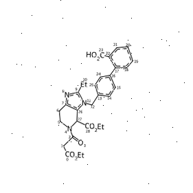 CCOC(=O)CC(=O)N1CCc2nc(CC)n(Cc3ccc(-c4ccccc4C(=O)O)cc3)c2C1C(=O)OCC